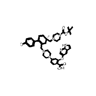 CC(C)(C)OC(=O)N1CCN(C[C@]2(C)CCC(c3ccc(Cl)cc3)=C(CN3CCN(c4ccc(C(=O)O)c(Oc5cnc6[nH]ccc6c5)c4)CC3)C2)CC1